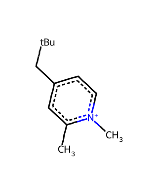 Cc1cc(CC(C)(C)C)cc[n+]1C